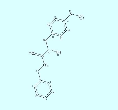 O=C(OCc1ccccc1)[C@@H](O)Cc1ccc(SC(F)(F)F)cc1